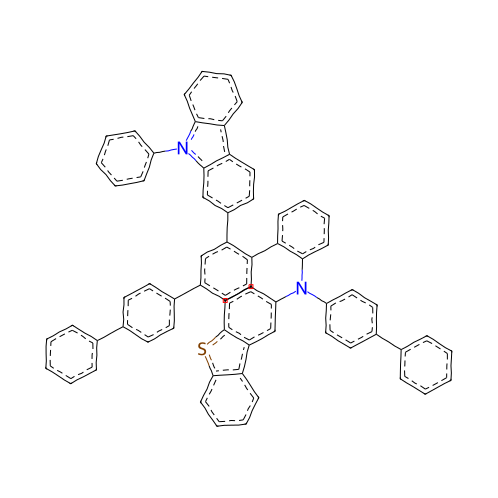 c1ccc(-c2ccc(-c3ccc(-c4ccccc4N(c4ccc(-c5ccccc5)cc4)c4ccc5sc6ccccc6c5c4)c(-c4ccc5c6ccccc6n(-c6ccccc6)c5c4)c3)cc2)cc1